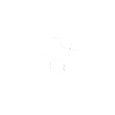 CNCC(C)(C)O.Cc1ccc(S(=O)(=O)O)cc1